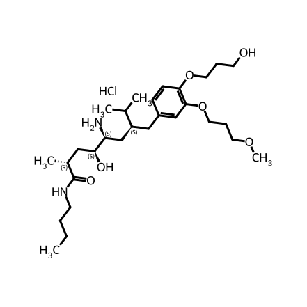 CCCCNC(=O)[C@H](C)C[C@H](O)[C@@H](N)C[C@H](Cc1ccc(OCCCO)c(OCCCOC)c1)C(C)C.Cl